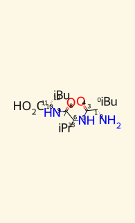 CC[C@H](C)[C@H](N)C(=O)N[C@H](C(=O)N[C@H](C(=O)O)[C@@H](C)CC)C(C)C